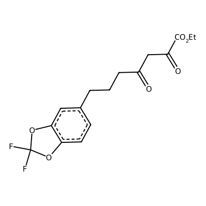 CCOC(=O)C(=O)CC(=O)CCCc1ccc2c(c1)OC(F)(F)O2